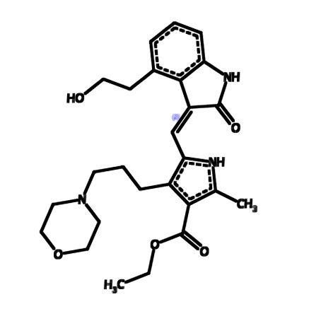 CCOC(=O)c1c(C)[nH]c(/C=C2\C(=O)Nc3cccc(CCO)c32)c1CCCN1CCOCC1